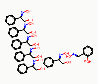 OCC(=NO)c1ccccc1.OCC(=NO)c1ccccc1.OCC(=NO)c1ccccc1.OCC(=NO)c1ccccc1.OCC(=NO)c1ccccc1.OCC(=NO)c1ccccc1.ON=Cc1ccccc1[16OH]